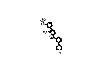 CN1CCN(c2cccc(-c3cnn4c(N)c(-c5cccc(N[SH](=O)=O)c5)cnc34)c2)CC1